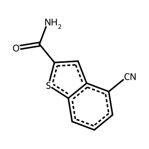 N#Cc1cccc2sc(C(N)=O)cc12